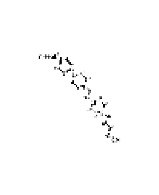 CCCCCCCc1ccc([C@H]2CC[C@H](CC[C@H]3CC[C@H](CCC=CC#N)CC3)CC2)cc1